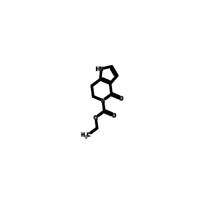 CCOC(=O)N1CCc2[nH]ccc2C1=O